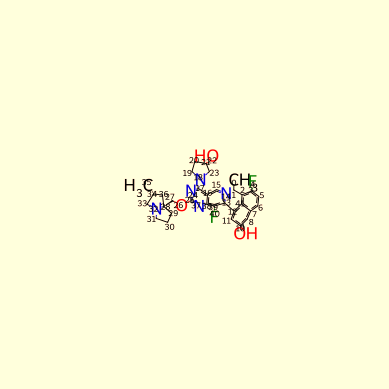 CCc1c(F)ccc2cc(O)cc(-c3ncc4c(N5CC[C@@H](O)C5)nc(OC[C@@]56CCCN5C[C@H](C)C6)nc4c3F)c12